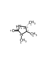 CC1[C@@H](C)NC(=O)N1C